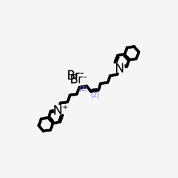 C(/C=C\CCCC[n+]1ccc2c(c1)CCCC2)=C/CCCC[n+]1ccc2c(c1)CCCC2.[Br-].[Br-]